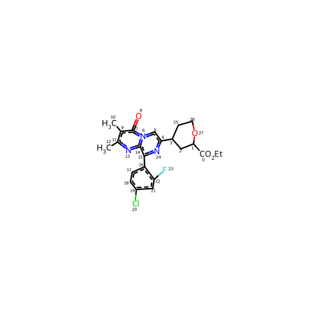 CCOC(=O)C1CC(c2cn3c(=O)c(C)c(C)nc3c(-c3ccc(Cl)cc3F)n2)CCO1